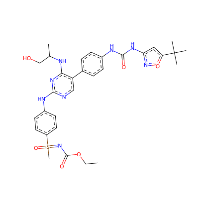 CCOC(=O)N=S(C)(=O)c1ccc(Nc2ncc(-c3ccc(NC(=O)Nc4cc(C(C)(C)C)on4)cc3)c(NC(C)CO)n2)cc1